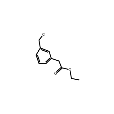 CCOC(=O)Cc1cccc(CCl)c1